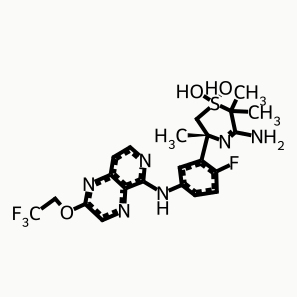 CC1(C)C(N)=N[C@](C)(c2cc(Nc3nccc4nc(OCC(F)(F)F)cnc34)ccc2F)CS1(O)O